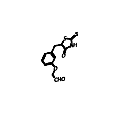 O=CCOc1cccc(CC2SC(=S)NC2=O)c1